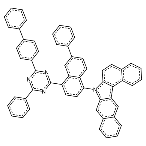 c1ccc(-c2ccc(-c3nc(-c4ccccc4)nc(-c4ccc(-n5c6cc7ccccc7cc6c6c7ccccc7ccc65)c5ccc(-c6ccccc6)cc45)n3)cc2)cc1